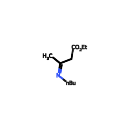 CCCCN=C(C)CC(=O)OCC